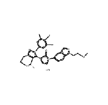 COCCn1ncc2cc(-n3ccn(-c4c5c(nn4-c4cc(C)c(F)c(C)c4)CCN[C@H]5C)c3=O)ccc21.Cl